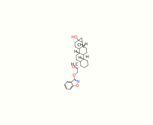 C[C@]12CC[C@]3(O)CC3[C@@H]1CC[C@@H]1[C@@H]2CC[C@]2(C)[C@@H](C(=O)COc3noc4ccccc34)CCC[C@@H]12